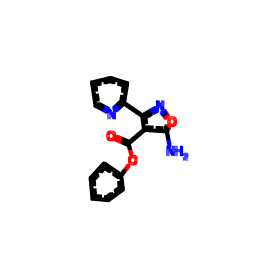 Nc1onc(-c2ccccn2)c1C(=O)Oc1ccccc1